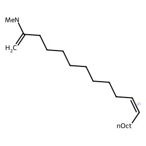 C=C(CCCCCCCC/C=C\CCCCCCCC)NC